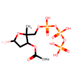 BC1CC(OC(=O)OC)C(C)(COP(=O)(O)OP(=O)(O)OP(=O)(O)O)O1